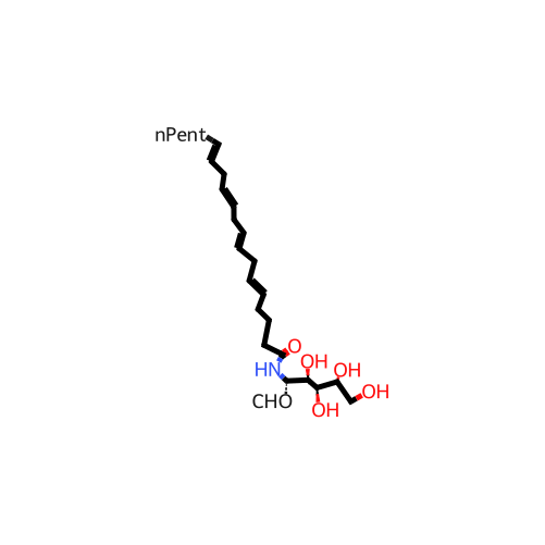 CCCCCC=CCC=CCC=CCC=CCCCC(=O)N[C@@H](C=O)[C@@H](O)[C@H](O)[C@H](O)CO